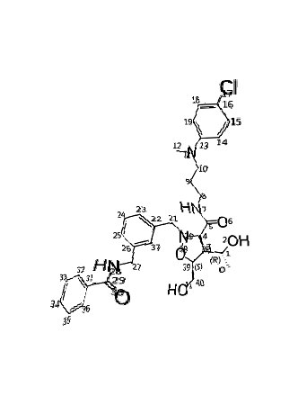 C[C@@H](O)[C@@H]1C(C(=O)NCCCN(C)c2ccc(Cl)cc2)N(Cc2cccc(CNC(=O)c3ccccc3)c2)O[C@@H]1CO